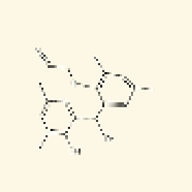 C=CCOc1c(C)cc(C)cc1C(c1cc(C)cc(C)c1O)C(C)C